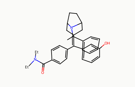 CCN(CC)C(=O)c1ccc(C(=C2CC3CCC(C2)N3C(C)c2ccccc2)c2cccc(O)c2)cc1